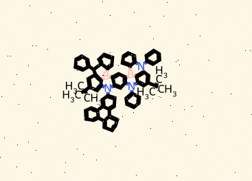 CC(C)(C)c1cc2c3c(c1)N(c1ccc4c5ccccc5c5ccccc5c4c1)c1cc4c(cc1B3c1ccccc1C2c1ccccc1)B1c2ccccc2N(c2ccccc2)c2cc(C(C)(C)C)cc(c21)N4c1ccccc1